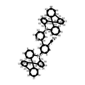 N#Cc1ccc(N2c3ccccc3C3(c4ccccc4-c4ccccc43)c3ccccc32)cc1-c1cc(N2c3ccccc3C3(c4ccccc4-c4ccccc43)c3ccccc32)ccn1